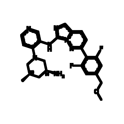 COCc1cc(F)c(-c2ccc3cnc(Nc4cnccc4N4C[C@H](C)C[C@H](N)C4)n3n2)c(F)c1